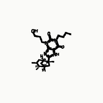 CCCCn1c(=O)c2[nH]c([C@]3(C)C[C@H]4C[C@H]3CC(C)[C@H]4C)nc2n(CCCO)c1=O